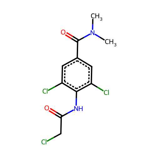 CN(C)C(=O)c1cc(Cl)c(NC(=O)CCl)c(Cl)c1